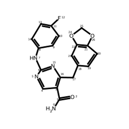 NC(=O)c1cnc(Nc2ccc(F)cc2)nc1[CH]c1ccc2c(c1)OCO2